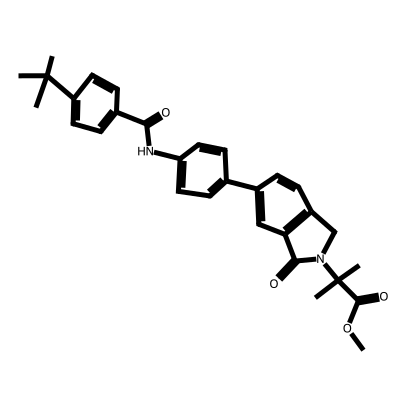 COC(=O)C(C)(C)N1Cc2ccc(-c3ccc(NC(=O)c4ccc(C(C)(C)C)cc4)cc3)cc2C1=O